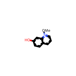 CO[n+]1cccc2ccc(O)cc21